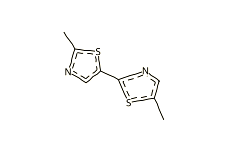 Cc1cnc(-c2cnc(C)s2)s1